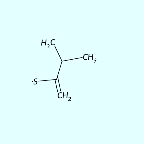 C=C([S])C(C)C